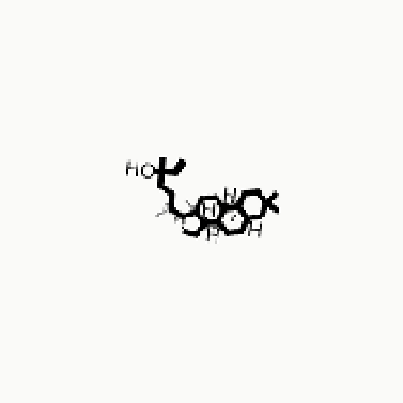 C=CC(C)(O)CC[C@@H](C)[C@H]1CC[C@H]2[C@@H]3CC[C@H]4CC(C)(C)CC[C@]4(C)[C@H]3CC[C@]12C